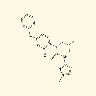 CC(C)CC(C(=O)Nc1ccn(C)n1)n1ccc(Oc2ccccc2)cc1=O